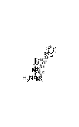 CCOCc1nc2c(N)nc(C)c(C)c2n1CCCCCSc1ccccc1